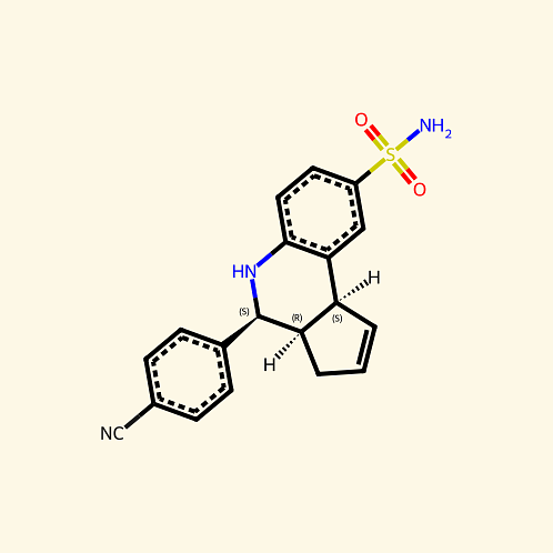 N#Cc1ccc([C@H]2Nc3ccc(S(N)(=O)=O)cc3[C@H]3C=CC[C@H]32)cc1